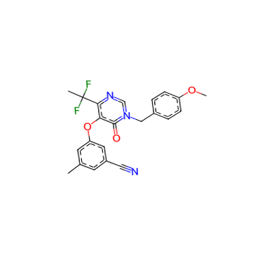 COc1ccc(Cn2cnc(C(C)(F)F)c(Oc3cc(C)cc(C#N)c3)c2=O)cc1